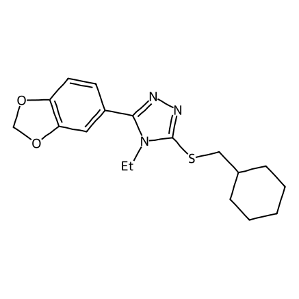 CCn1c(SCC2CCCCC2)nnc1-c1ccc2c(c1)OCO2